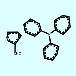 O=Cc1ccco1.c1ccc(N(c2ccccc2)c2ccccc2)cc1